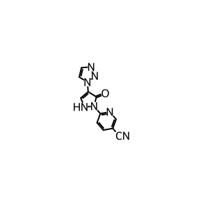 N#Cc1ccc(-n2[nH]cc(-n3ccnn3)c2=O)nc1